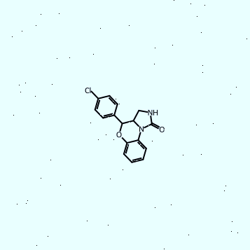 O=C1NCC2C(c3ccc(Cl)cc3)Oc3ccccc3N12